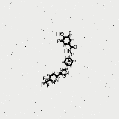 O=C(NC[C@]12CC[C@](c3noc(-c4ccc(C(F)(F)F)nn4)n3)(CC1)CC2)c1cc(F)c(O)c(F)c1